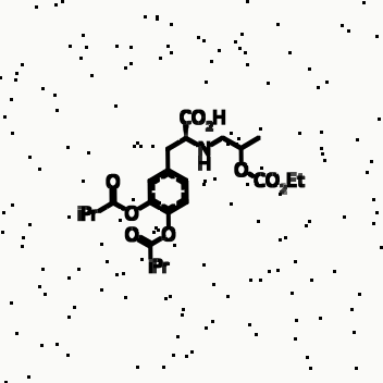 CCOC(=O)OC(C)CN[C@@H](Cc1ccc(OC(=O)C(C)C)c(OC(=O)C(C)C)c1)C(=O)O